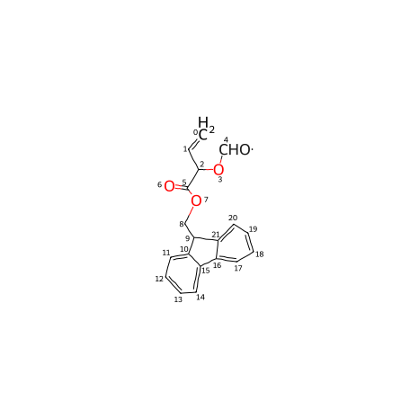 C=CC(O[C]=O)C(=O)OCC1c2ccccc2-c2ccccc21